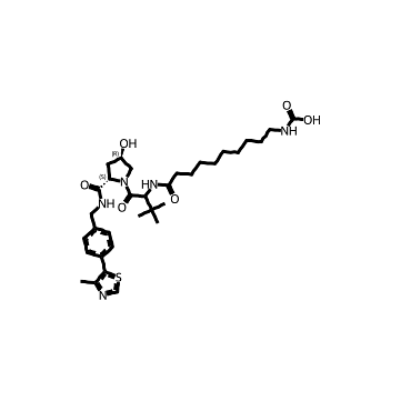 Cc1ncsc1-c1ccc(CNC(=O)[C@@H]2C[C@@H](O)CN2C(=O)C(NC(=O)CCCCCCCCCNC(=O)O)C(C)(C)C)cc1